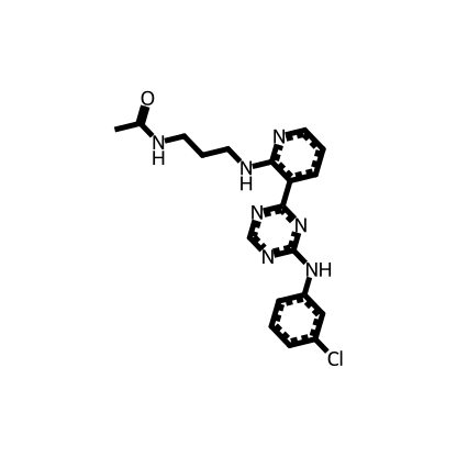 CC(=O)NCCCNc1ncccc1-c1ncnc(Nc2cccc(Cl)c2)n1